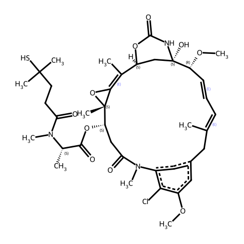 COc1cc2cc(c1Cl)N(C)C(=O)C[C@H](OC(=O)[C@H](C)N(C)C(=O)CCC(C)(C)S)[C@]1(C)O/C1=C(\C)[C@@H]1C[C@@](O)(NC(=O)O1)[C@H](OC)/C=C/C=C(\C)C2